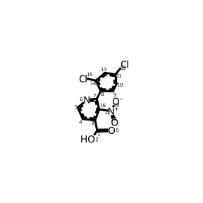 O=C(O)c1ccnc(-c2ccc(Cl)cc2Cl)c1[N+](=O)[O-]